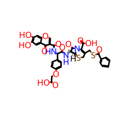 O=C(O)COc1ccc(C(NC(=O)c2coc3cc(O)c(O)cc3c2=O)C(=O)N[C@@H]2C(=O)N3C(C(=O)O)=C(CSC(=O)c4ccccc4)CS[C@@H]23)cc1